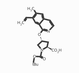 C=Cc1cc2c(O[C@@H]3C[C@@H](C(=O)O)N(C(=O)OC(C)(C)C)C3)nccc2cc1C